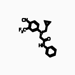 [C-]#[N+]c1ccc(N(CC(=O)Nc2ccccc2)CC2CC2)cc1C(F)(F)F